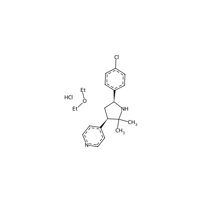 CC1(C)N[C@H](c2ccc(Cl)cc2)C[C@@H]1c1ccncc1.CCOCC.Cl